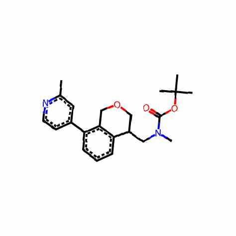 Cc1cc(-c2cccc3c2COCC3CN(C)C(=O)OC(C)(C)C)ccn1